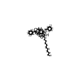 CCCCCCCCCCCC(=O)N[C@H]1[C@@H](OCc2ccccc2)O[C@@H]2COC(c3ccccc3)O[C@H]2[C@@H]1O